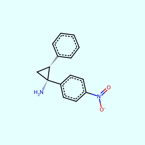 N[C@]1(c2ccc([N+](=O)[O-])cc2)C[C@@H]1c1ccccc1